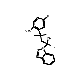 COc1ccc(F)cc1C(C)(C)CC(O)(n1ncc2ccccc21)C(F)(F)F